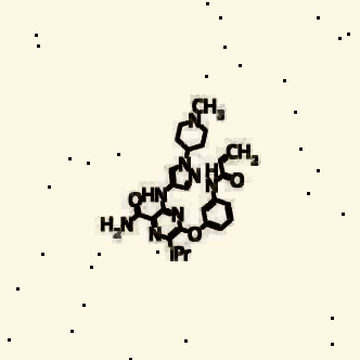 C=CC(=O)Nc1cccc(Oc2nc(Nc3cnn(C4CCN(C)CC4)c3)c(C(N)=O)nc2C(C)C)c1